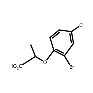 CC(Oc1ccc(Cl)cc1Br)C(=O)O